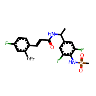 CCCc1cc(F)ccc1C=CC(=O)NC(C)c1cc(F)c(NS(C)(=O)=O)c(F)c1